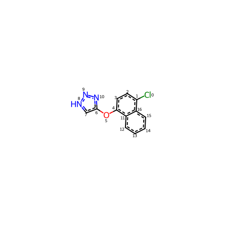 Clc1ccc(Oc2c[nH]nn2)c2ccccc12